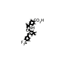 CC1(C)C[C@H](C(=O)NC2(c3ccc(C(=O)O)cc3)CC2)N(Cc2ccc(C(F)(F)F)cc2)C1